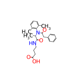 Cc1cccc(C)c1N(C(=O)Cc1ccccc1)C(C)C(=O)NCCCC(=O)O